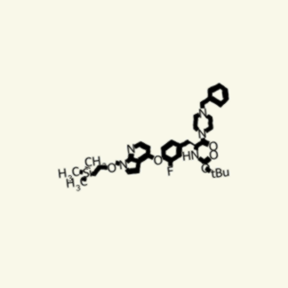 CC(C)(C)OC(=O)N[C@@H](Cc1ccc(Oc2ccnc3c2ccn3COCC[Si](C)(C)C)c(F)c1)C(=O)N1CCN(Cc2ccccc2)CC1